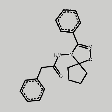 O=C(Cc1ccccc1)NN1C(c2ccccc2)=NOC12CCCC2